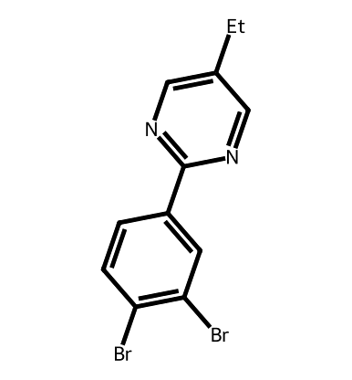 CCc1cnc(-c2ccc(Br)c(Br)c2)nc1